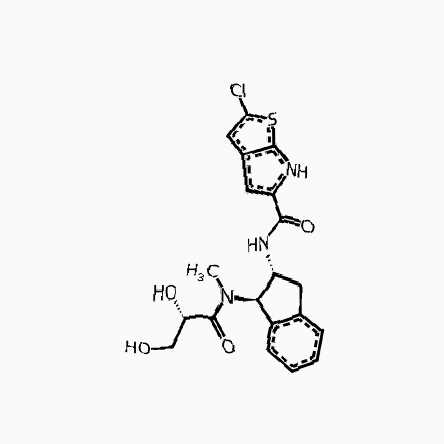 CN(C(=O)[C@@H](O)CO)[C@@H]1c2ccccc2C[C@H]1NC(=O)c1cc2cc(Cl)sc2[nH]1